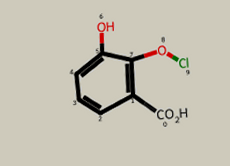 O=C(O)c1cccc(O)c1OCl